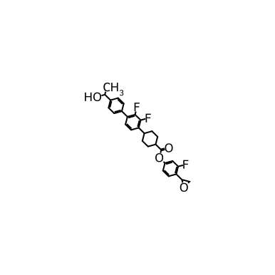 CC(O)c1ccc(-c2ccc(C3CCC(C(=O)Oc4ccc(C5CO5)c(F)c4)CC3)c(F)c2F)cc1